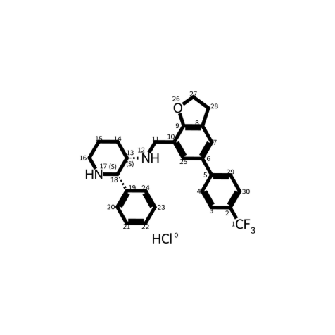 Cl.FC(F)(F)c1ccc(-c2cc3c(c(CN[C@H]4CCCN[C@H]4c4ccccc4)c2)OCC3)cc1